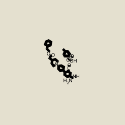 Cc1ccc(S(=O)(=O)O)cc1.N=C(N)C1=CC=C(c2ccc(N3CCC(CC(=O)OCCc4ccccc4)CC3)cc2)C(=C=O)C1